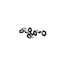 CN1CCCC1CCNc1ccnc2oc(-c3ccc(OCCN4CCCCC4)cc3)c(-c3ccccc3)c12